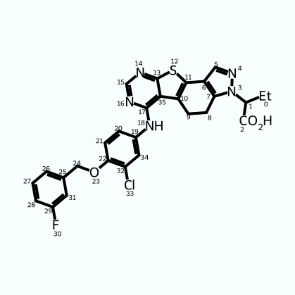 CCC(C(=O)O)n1ncc2c1CCc1c-2sc2ncnc(Nc3ccc(OCc4cccc(F)c4)c(Cl)c3)c12